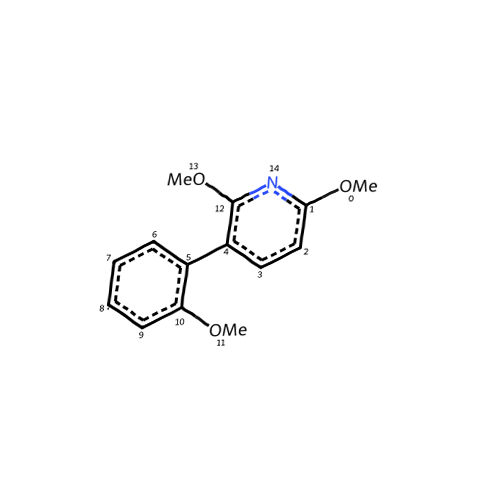 COc1ccc(-c2cc[c]cc2OC)c(OC)n1